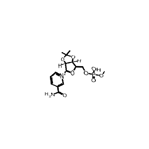 COP(=O)(O)OCC1O[C@@H]([n+]2cccc(C(N)=O)c2)[C@@H]2OC(C)(C)O[C@H]12